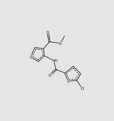 COC(=O)c1cscc1NC(=O)c1ccc(Cl)s1